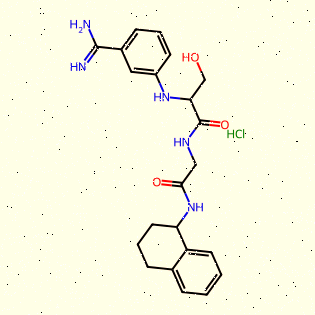 Cl.N=C(N)c1cccc(NC(CO)C(=O)NCC(=O)NC2CCCc3ccccc32)c1